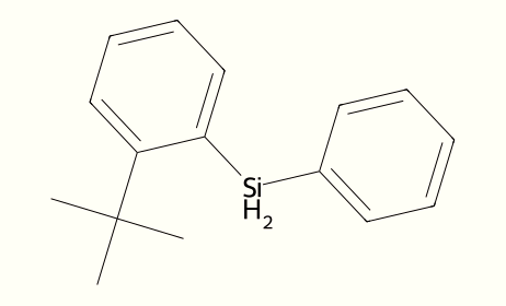 CC(C)(C)c1ccccc1[SiH2]c1ccccc1